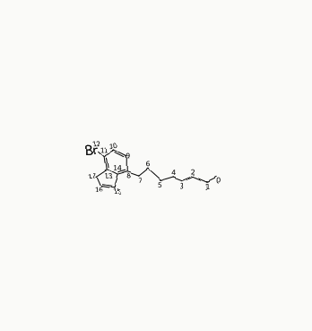 CCCCCCCCc1ccc(Br)c2c1C=CC2